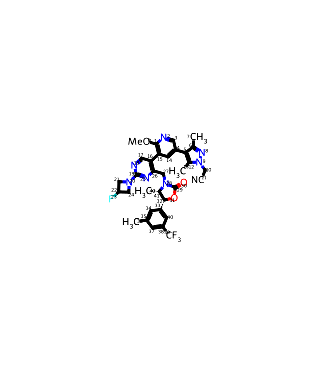 COc1ncc(-c2c(C)nn(CC#N)c2C)cc1-c1cnc(N2CC(F)C2)nc1CN1C(=O)O[C@H](c2cc(C)cc(C(F)(F)F)c2)[C@@H]1C